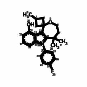 CC1CC2(C1)OCCC(C)(C)c1c2c2c(O)cccc2n1-c1ccc(F)cc1